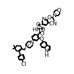 CC(Oc1ncc(S(=O)(=O)NC(=O)c2ccc(N3CCN(CC4=C(c5ccc(Cl)cc5)CC(C)(C)CC4)CC3)cc2Oc2ccc3[nH]ccc3c2)cc1C#N)N1CCOCC1